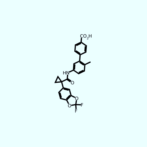 Cc1ccc(NC(=O)C2(c3ccc4c(c3)OC(F)(F)O4)CC2)cc1-c1ccc(C(=O)O)cc1